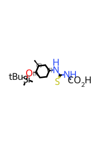 C[C@H]1C[C@@H](NC(=S)NC(=O)O)CC[C@@H]1O[Si](C)(C)C(C)(C)C